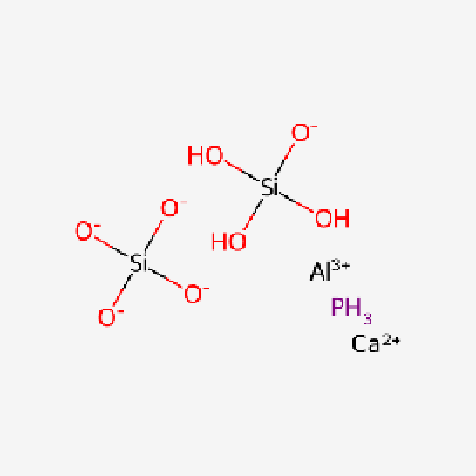 P.[Al+3].[Ca+2].[O-][Si](O)(O)O.[O-][Si]([O-])([O-])[O-]